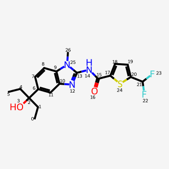 CCC(O)(CC)c1ccc2c(c1)nc(NC(=O)c1ccc(C(F)F)s1)n2C